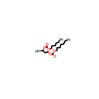 CCCC(CCOC(=O)OCCCCCCC(C)C)OC(=O)OCCCCCC(C)C